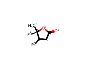 CC(C)C1CC(=O)O[C@]1(C)C(C)C